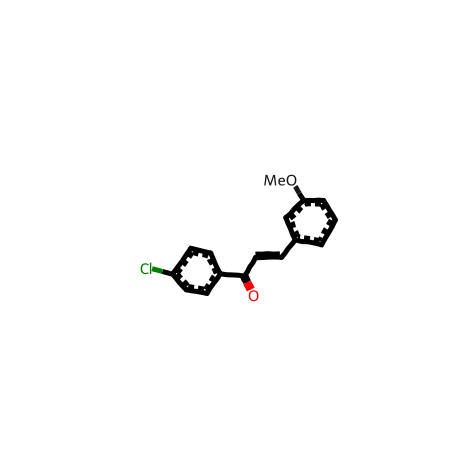 COc1cccc(C=CC(=O)c2ccc(Cl)cc2)c1